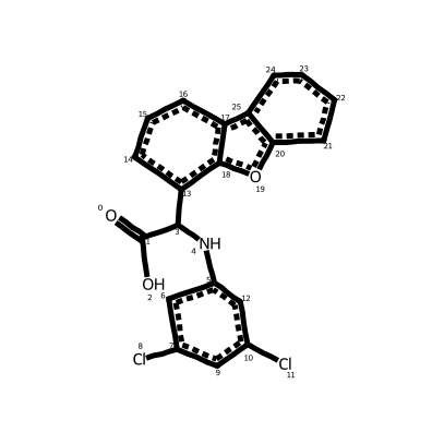 O=C(O)C(Nc1cc(Cl)cc(Cl)c1)c1cccc2c1oc1ccccc12